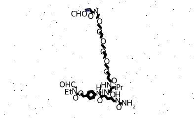 CCN(CC=O)C(=O)OCc1ccc(NC(=O)C(CCCNC(N)=O)NC(=O)C(NC(=O)CCOCCOCCOCCOCCOCCOCCN(C)C(=O)/C=C\C=O)C(C)C)cc1